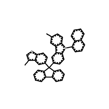 Cc1ccc2c(c1)c1cc(C3(c4ccc5scc(C)c5c4)c4ccccc4-c4ccccc43)ccc1n2-c1cccc2ccccc12